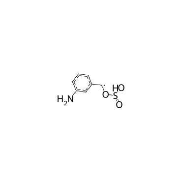 Nc1cccc([CH]O[SH](=O)=O)c1